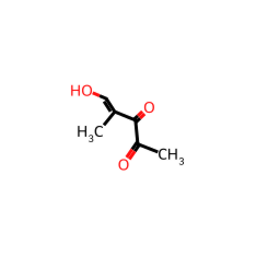 CC(=O)C(=O)/C(C)=C/O